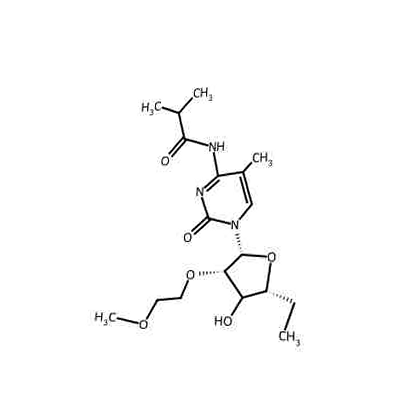 CC[C@H]1O[C@@H](n2cc(C)c(NC(=O)C(C)C)nc2=O)[C@@H](OCCOC)C1O